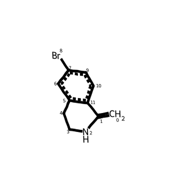 C=C1NCCc2cc(Br)ccc21